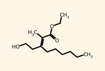 CCCCCCC(CCO)=C(C)C(=O)OCC